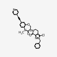 CN1C(=O)[C@H](N2CCc3c(nn(Cc4ccccc4)c3Cl)C2=O)COc2cc(C#Cc3ccncc3)ccc21